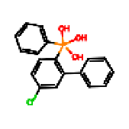 OP(O)(O)(c1ccccc1)c1ccc(Cl)cc1-c1ccccc1